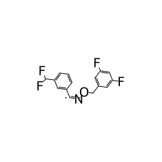 Fc1cc(F)cc(CO/N=[C]\c2cccc(C(F)F)c2)c1